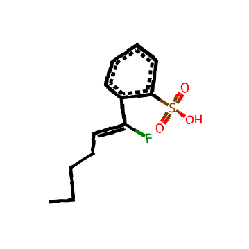 CCCCC=C(F)c1ccccc1S(=O)(=O)O